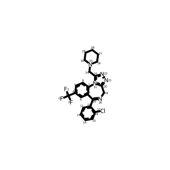 FC(F)(F)c1ccc2c(c1)C(c1ccccc1Cl)=NCc1nnc(CN3CCCCC3)n1-2